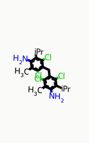 Cc1c(N)c(C(C)C)c(Cl)c(Cc2c(Cl)c(C)c(N)c(C(C)C)c2Cl)c1Cl